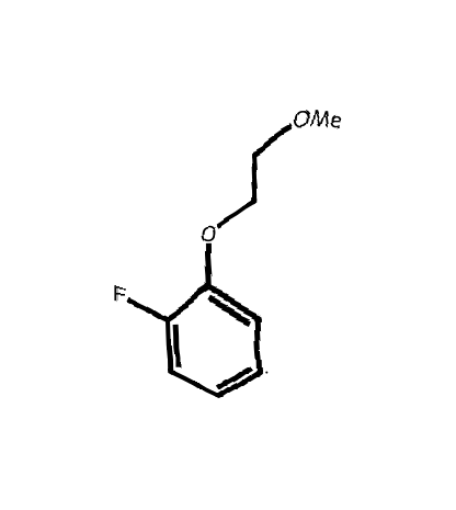 COCCOc1c[c]ccc1F